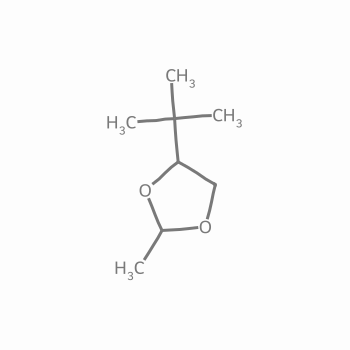 CC1OCC(C(C)(C)C)O1